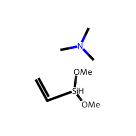 C=C[SiH](OC)OC.CN(C)C